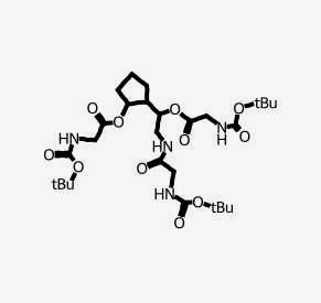 CC(C)(C)OC(=O)NCC(=O)NCC(OC(=O)CNC(=O)OC(C)(C)C)C1CCCC1OC(=O)CNC(=O)OC(C)(C)C